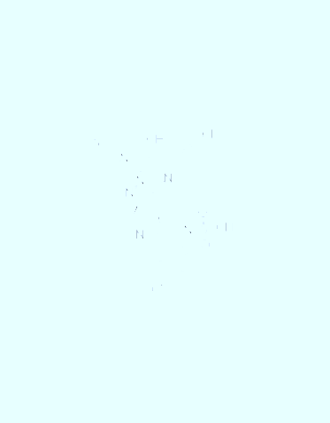 CC#Cc1nc2cc([C@@H]3CCCCN3C(=O)c3cc(Cl)ccc3NS(C)(=O)=O)nn2c(N2CCOCC2)c1C